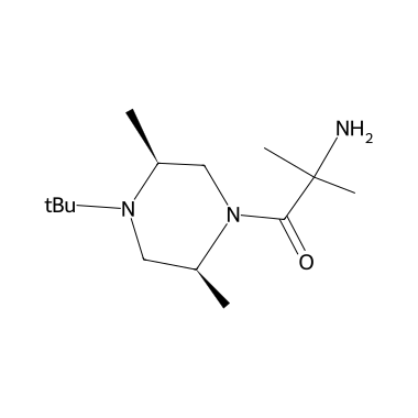 C[C@H]1CN(C(C)(C)C)[C@@H](C)CN1C(=O)C(C)(C)N